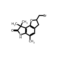 Cc1cc2c(c3c1NC(=O)C3(C)C)OC(CBr)C2